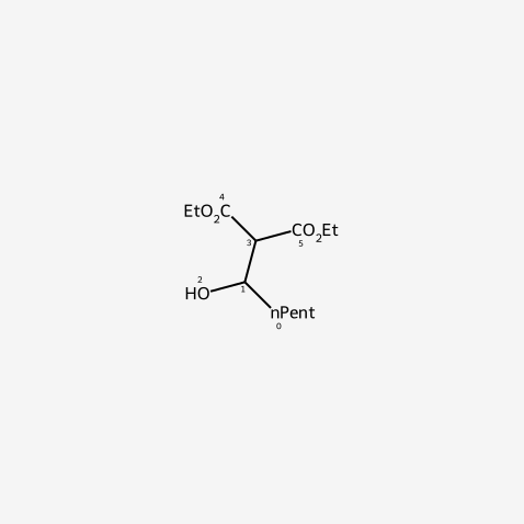 CCCCCC(O)C(C(=O)OCC)C(=O)OCC